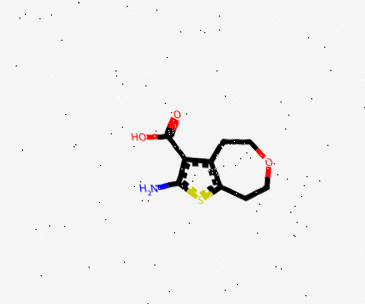 Nc1sc2c(c1C(=O)O)CCOCC2